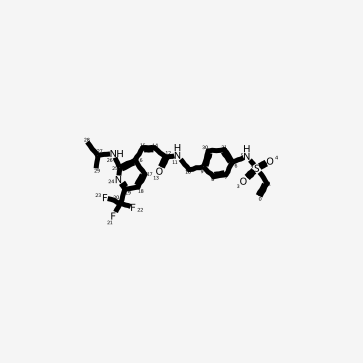 C=CS(=O)(=O)Nc1ccc(CNC(=O)/C=C\c2ccc(C(F)(F)F)nc2NC(C)C)cc1